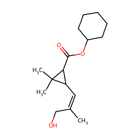 CC(=CC1C(C(=O)OC2CCCCC2)C1(C)C)CO